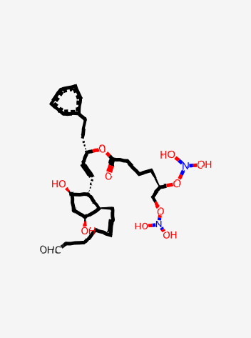 O=CCCC/C=C\C[C@@H]1[C@@H](/C=C/[C@H](CCc2ccccc2)OC(=O)CCC[C@H](CON(O)O)ON(O)O)[C@H](O)C[C@@H]1O